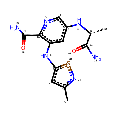 Cc1cc(Nc2cc(N[C@H](C)C(N)=O)cnc2C(N)=O)sn1